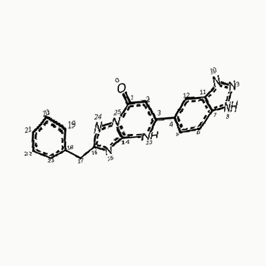 O=c1cc(-c2ccc3[nH]nnc3c2)[nH]c2nc(Cc3ccccc3)nn12